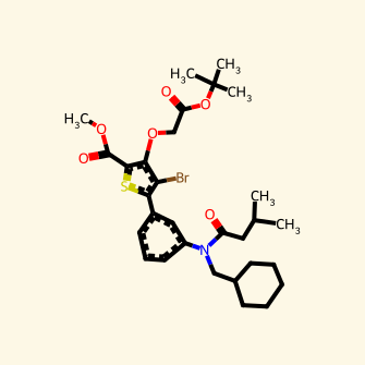 COC(=O)c1sc(-c2cccc(N(CC3CCCCC3)C(=O)CC(C)C)c2)c(Br)c1OCC(=O)OC(C)(C)C